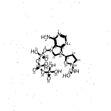 Nc1ncnc2c1N(OP(=O)(O)OP(=O)(O)OP(=O)(O)O)CN2[C@H]1CCN(NO)O1